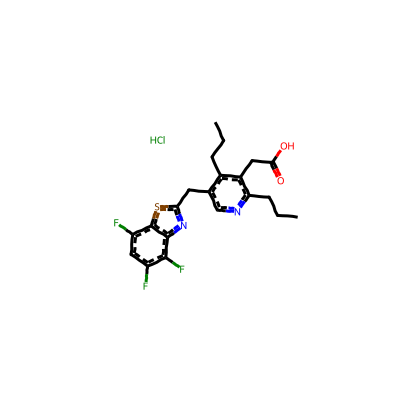 CCCc1ncc(Cc2nc3c(F)c(F)cc(F)c3s2)c(CCC)c1CC(=O)O.Cl